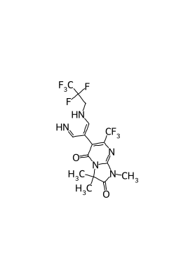 CN1C(=O)C(C)(C)n2c1nc(C(F)(F)F)c(/C(C=N)=C/NCC(F)(F)C(F)(F)F)c2=O